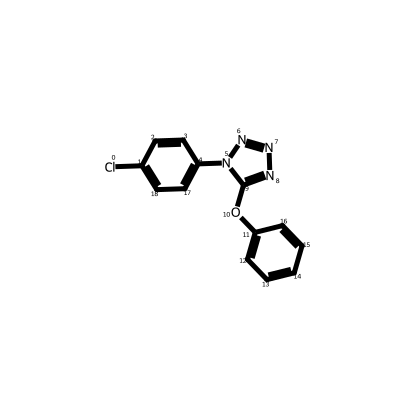 Clc1ccc(-n2nnnc2Oc2ccccc2)cc1